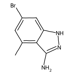 Cc1cc(Br)cc2[nH]nc(N)c12